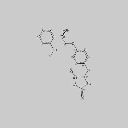 COc1ccccc1[C@@H](O)COc1ccc(CC2SC(=O)CC2=O)cc1